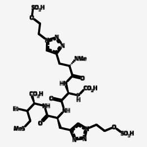 CCC(CSC)[C@H](NC(=O)[C@H](Cc1cn(CCOS(=O)(=O)O)nn1)NC(=O)[C@@H](NC(=O)[C@H](Cc1cn(CCOS(=O)(=O)O)nn1)NC)PC(=O)O)C(=O)O